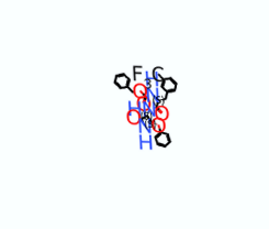 O=C(N[C@@H](Cc1cccc(C(F)(F)F)c1)C(=O)N[C@@H]1C(=O)N[C@H]1Oc1ccccc1)OCc1ccccc1